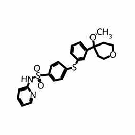 COC1(c2cccc(Sc3ccc(S(=O)(=O)Nc4ccccn4)cc3)c2)CCOCC1